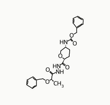 C[C@@H](OCc1ccccc1)C(=O)NNC(=O)[C@@H]1CC[C@@H](NC(=O)OCc2ccccc2)CO1